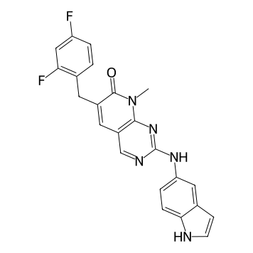 Cn1c(=O)c(Cc2ccc(F)cc2F)cc2cnc(Nc3ccc4[nH]ccc4c3)nc21